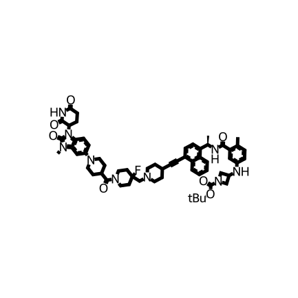 Cc1ccc(NC2CN(C(=O)OC(C)(C)C)C2)cc1C(=O)N[C@H](C)c1ccc(C#CC2CCN(CC3(F)CCN(C(=O)C4CCN(c5ccc6c(c5)n(C)c(=O)n6C5CCC(=O)NC5=O)CC4)CC3)CC2)c2ccccc12